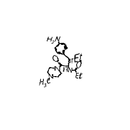 CCC(=O)N[C@@H](C(=O)N1CCN(C)CC1)[C@@H](CC)c1ccc(N)cc1